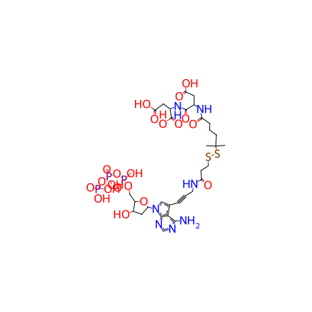 CC(C)(CCCC(=O)NC(CC(=O)O)C(=O)NC(CC(=O)O)C(=O)O)SSCCC(=O)NCC#Cc1cn(C2CC(O)C(COP(=O)(O)OP(=O)(O)OP(=O)(O)O)O2)c2ncnc(N)c12